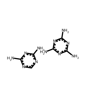 Nc1nc(N)nc(N)n1.Nc1ncnc(N)n1